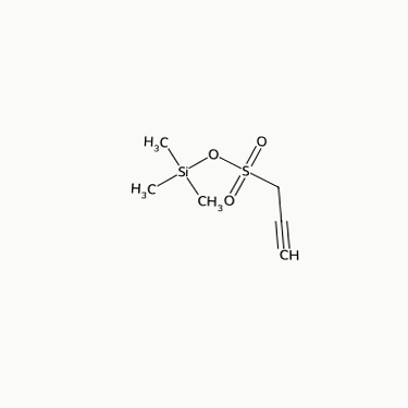 C#CCS(=O)(=O)O[Si](C)(C)C